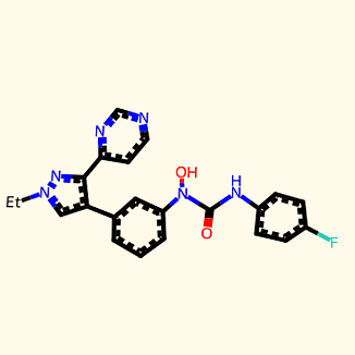 CCn1cc(-c2cccc(N(O)C(=O)Nc3ccc(F)cc3)c2)c(-c2ccncn2)n1